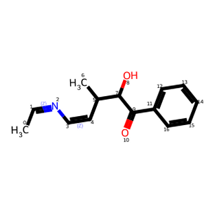 C/C=N\C=C/C(C)C(O)C(=O)c1ccccc1